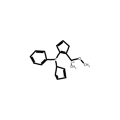 CO[C@H](C)C1=C(P(c2ccccc2)C2C=CC=C2)C=CC1